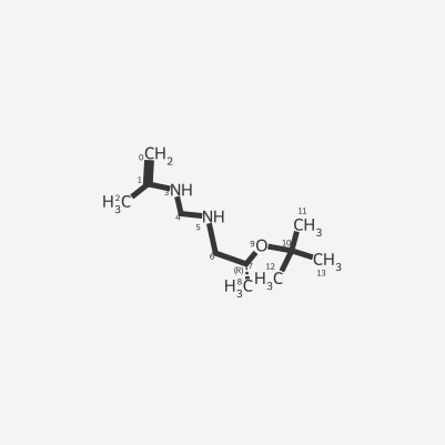 C=C(C)NCNC[C@@H](C)OC(C)(C)C